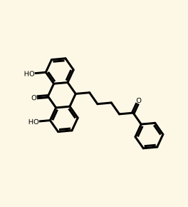 O=C(CCCCC1c2cccc(O)c2C(=O)c2c(O)cccc21)c1ccccc1